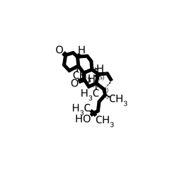 C[C@H](CCC(C)(C)O)[C@H]1CC[C@H]2[C@@H]3CC[C@H]4CC(=O)CC[C@]4(C)C3C(=O)C[C@]12C